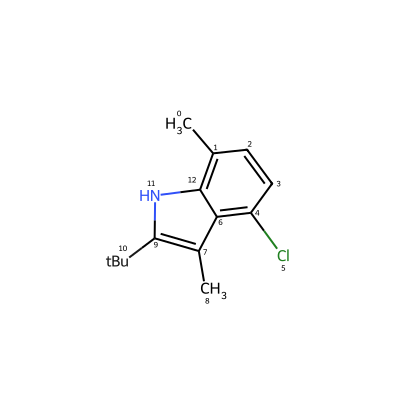 Cc1ccc(Cl)c2c(C)c(C(C)(C)C)[nH]c12